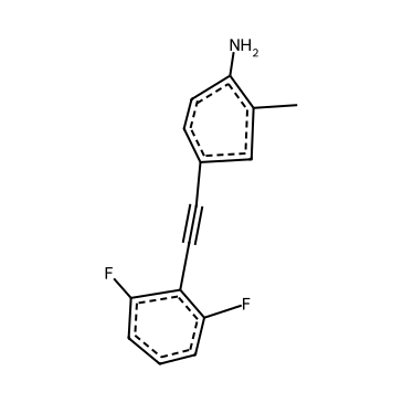 Cc1cc(C#Cc2c(F)cccc2F)ccc1N